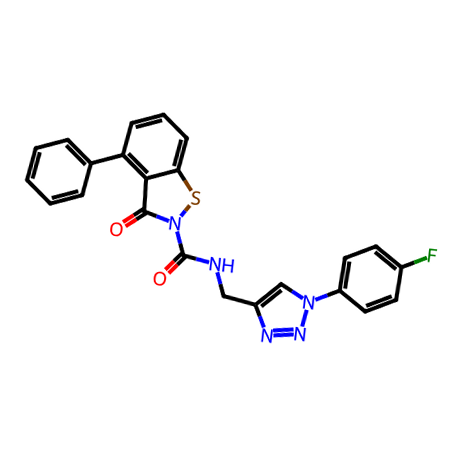 O=C(NCc1cn(-c2ccc(F)cc2)nn1)n1sc2cccc(-c3ccccc3)c2c1=O